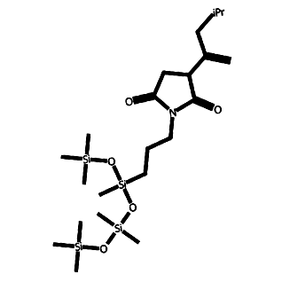 C=C(CC(C)C)C1CC(=O)N(CCC[Si](C)(O[Si](C)(C)C)O[Si](C)(C)O[Si](C)(C)C)C1=O